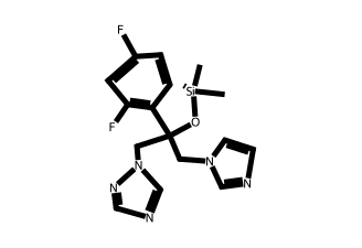 C[Si](C)(C)OC(Cn1ccnc1)(Cn1cncn1)c1ccc(F)cc1F